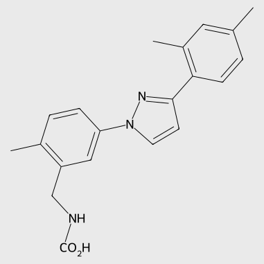 Cc1ccc(-c2ccn(-c3ccc(C)c(CNC(=O)O)c3)n2)c(C)c1